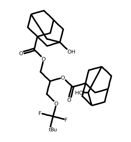 CC(C)(C)C(F)(F)OCC(COC(=O)C12CC3CC(CC(O)(C3)C1)C2)OC(=O)C12CC3CC(C1)C(O)C(C3)C2